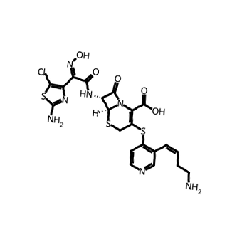 NCC/C=C\c1cnccc1SC1=C(C(=O)O)N2C(=O)[C@@H](NC(=O)/C(=N\O)c3nc(N)sc3Cl)[C@@H]2SC1